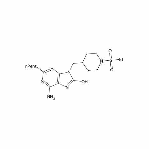 CCCCCc1cc2c(nc(O)n2CC2CCN(S(=O)(=O)CC)CC2)c(N)n1